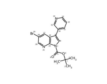 CC(C)(C)OC(=O)n1cc(-c2cccnc2)c2cc(Br)cnc21